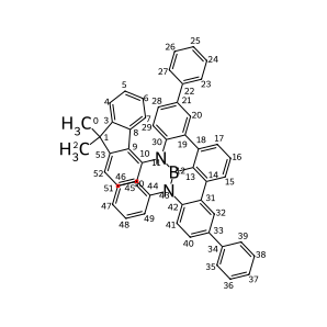 CC1(C)c2ccccc2-c2c(N3B4c5c(cccc5-c5cc(-c6ccccc6)ccc53)-c3cc(-c5ccccc5)ccc3N4c3ccccc3)cccc21